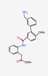 COC(=O)Cc1ccccc1NC(=O)c1ccc(OC)c(-c2cccc(CN)c2)c1